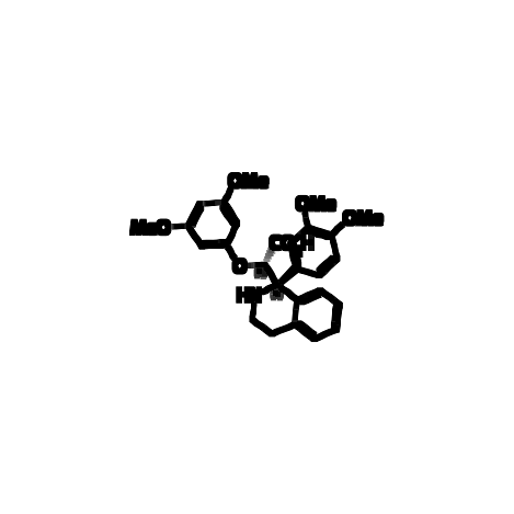 COc1cc(OC)cc(O[C@H](C(=O)O)[C@@]2(c3ccc(OC)c(OC)c3)NCCc3ccccc32)c1